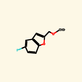 O=[C]OCc1cc2cc(F)ccc2o1